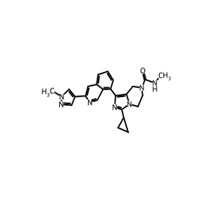 CNC(=O)N1CCn2c(C3CC3)nc(-c3cccc4cc(-c5cnn(C)c5)ncc34)c2C1